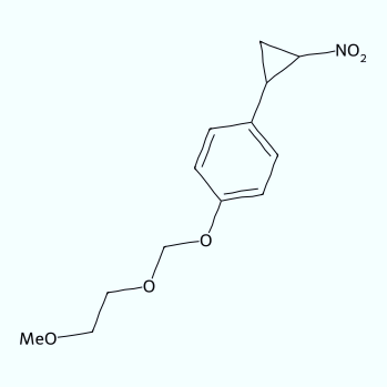 COCCOCOc1ccc(C2CC2[N+](=O)[O-])cc1